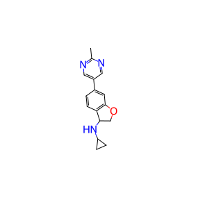 Cc1ncc(-c2ccc3c(c2)OCC3NC2CC2)cn1